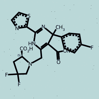 COC(=O)C1=C(CN2CC(F)(F)C[C@H]2C(=O)O)NC(c2nccs2)=NC1(C)c1ccc(F)cc1